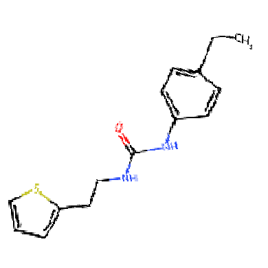 CCc1ccc(NC(=O)NCCc2cccs2)cc1